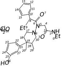 CCNC(=O)CN(C(=O)C(CC)c1ccccc1)N1CCC(C)(c2cccc(O)c2)C(C)C1.Cl.O